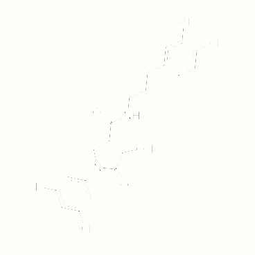 Cc1cc(F)cc(N2CC(C(=O)NCCCc3ccc(Cl)c(Cl)c3)=C(O)C2=O)c1